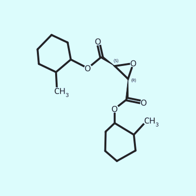 CC1CCCCC1OC(=O)[C@H]1O[C@H]1C(=O)OC1CCCCC1C